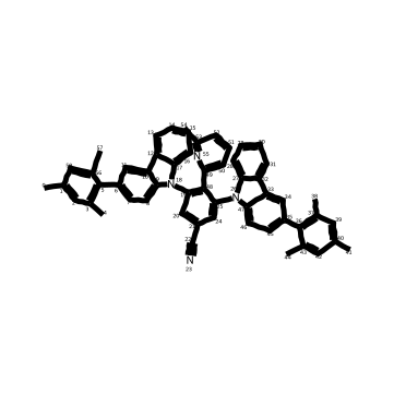 Cc1cc(C)c(-c2ccc3c(c2)c2ccccc2n3-c2cc(C#N)cc(-n3c4ccccc4c4cc(-c5c(C)cc(C)cc5C)ccc43)c2-c2cccc(C)n2)c(C)c1